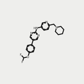 FC(F)Oc1ccc(-c2cnc(Nc3ccc(CN4CCCCC4)nc3)nc2)cc1